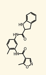 Cc1ccc(NC(=O)C2Cc3ccccc3N2)cc1NC(=O)c1cnoc1C